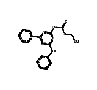 CC(C)(C)COC(=O)Nc1nc(Nc2ccccc2)nc(-c2ccccc2)n1